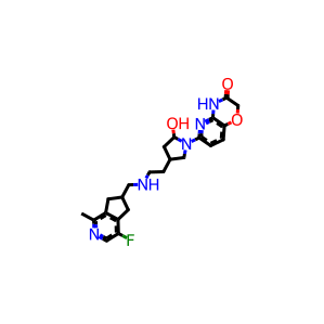 Cc1ncc(F)c2c1CC(CNCCC1CC(O)N(c3ccc4c(n3)NC(=O)CO4)C1)C2